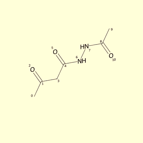 CC(=O)CC(=O)NNC(C)=O